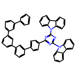 c1ccc(-c2cccc(-c3cccc(-c4cccc(-c5ccc(-c6nc(-n7c8ccccc8c8ccccc87)nc(-n7c8ccccc8c8ccccc87)n6)cc5)c4)c3)c2)cc1